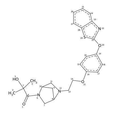 CC(C)(O)C(=O)N1CC2CC1CN2CCOc1ccc(Oc2nc3ccccc3s2)cc1